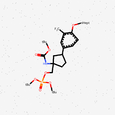 CCCCCCCOc1ccc(C2CCC(COP(=O)(OC(C)(C)C)OC(C)(C)C)(NC(=O)OC(C)(C)C)C2)cc1C(F)(F)F